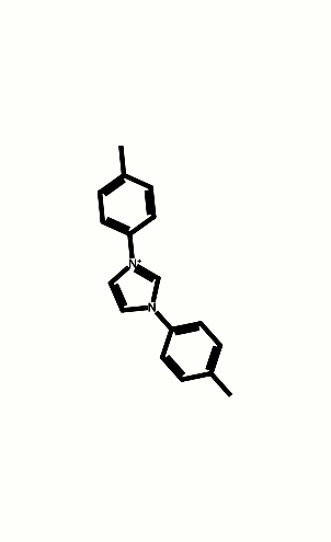 Cc1ccc(-n2cc[n+](-c3ccc(C)cc3)c2)cc1